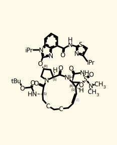 CC(C)c1csc(NC(=O)c2cccc3c2nc(O[C@@H]2C[C@H]4C(=O)N[C@]5(C(=O)NS(=O)(=O)N(C)C)C[C@H]5/C=C\CCCCC[C@H](NC(=O)OC(C)(C)C)C(=O)N4C2)n3C(C)C)n1